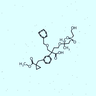 COC(=O)C1(Cc2cccc(C(CCOC(C)(C)CS(=O)(=O)CCO)(COCc3ccccc3)C(=O)O)c2)CC1